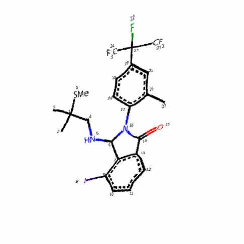 CSC(C)(C)CNC1c2c(I)cccc2C(=O)N1c1ccc(C(F)(C(F)(F)F)C(F)(F)F)cc1C